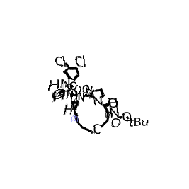 CC(C)(C)OC(=O)N[C@H]1CCCCC/C=C\[C@@H]2C[C@@]2(C(=O)NS(=O)(=O)Nc2ccc(Cl)c(Cl)c2)NC(=O)[C@@H]2CCCN2C1=O